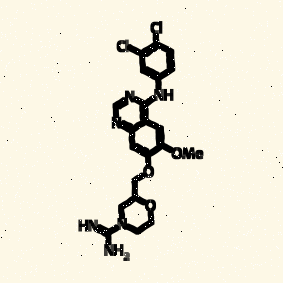 COc1cc2c(Nc3ccc(Cl)c(Cl)c3)ncnc2cc1OCC1CN(C(=N)N)CCO1